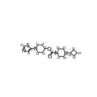 O=C(OC1CCN(c2cncs2)CC1)N1CCN(C2CCC2)CC1